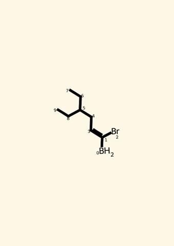 B/C(Br)=C/CC(CC)CC